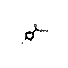 CCCCCC(CC)c1ccc(C(F)(F)F)cc1